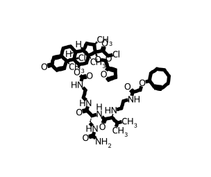 CC(C)[C@@H](NCCNC(=O)COC1C#CCCCCC1)C(=O)N[C@H](CNC(N)=O)C(=O)NCCNC(=O)O[C@H]1C[C@@]2(C)[C@@H](C[C@@H](C)[C@]2(OC(=O)c2ccco2)C(=O)CCl)[C@@H]2CCC3=CC(=O)C=C[C@]3(C)[C@@]12Cl